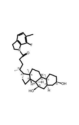 Cc1ccc2c(c1F)N(C(=O)CC[C@@H](C)[C@H]1CC[C@H]3[C@@H]4[C@H](O)C[C@@H]5C[C@H](O)CC[C@]5(C)[C@H]4CC[C@]13C)CC2